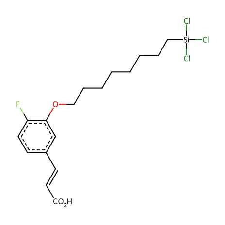 O=C(O)C=Cc1ccc(F)c(OCCCCCCCC[Si](Cl)(Cl)Cl)c1